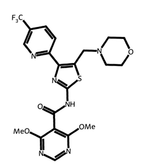 COc1ncnc(OC)c1C(=O)Nc1nc(-c2ccc(C(F)(F)F)cn2)c(CN2CCOCC2)s1